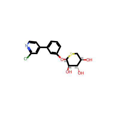 O[C@@H]1[C@@H](O)[C@@H](Oc2cccc(-c3ccnc(Cl)c3)c2)SC[C@H]1O